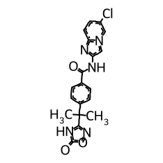 CC(C)(c1ccc(C(=O)Nc2cn3cc(Cl)ccc3n2)cc1)c1noc(=O)[nH]1